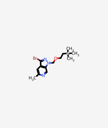 Cc1cc2c(Br)nn(COCC[Si](C)(C)C)c2cn1